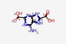 Nc1nc(C(=O)O)nc2nc(C(=O)O)[nH]c12